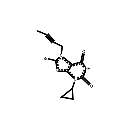 CC#CCn1c(Br)nc2c1c(=O)[nH]c(=O)n2C1CC1